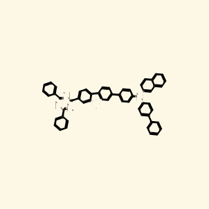 c1ccc(-c2ccc(N(c3ccc(-c4ccc5c(c4)oc4cc(-c6nc(-c7ccccc7)nc(-c7ccccc7)n6)ccc45)cc3)c3ccc4ccccc4c3)cc2)cc1